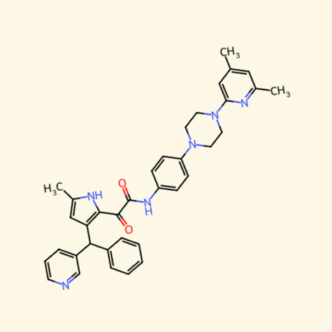 Cc1cc(C)nc(N2CCN(c3ccc(NC(=O)C(=O)c4[nH]c(C)cc4C(c4ccccc4)c4cccnc4)cc3)CC2)c1